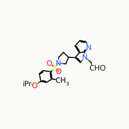 Cc1cc(OC(C)C)ccc1S(=O)(=O)N1CCC(c2cn(CC=O)c3ncccc23)C1